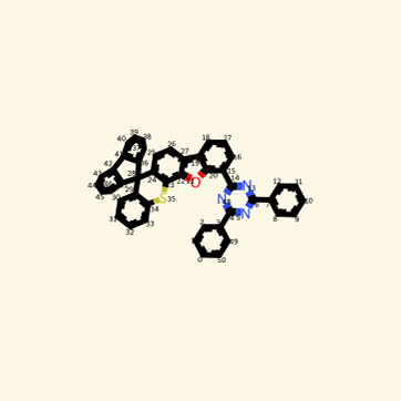 c1ccc(-c2nc(-c3ccccc3)nc(-c3cccc4c3oc3c5c(ccc34)C3(c4ccccc4S5)c4ccccc4-c4ccccc43)n2)cc1